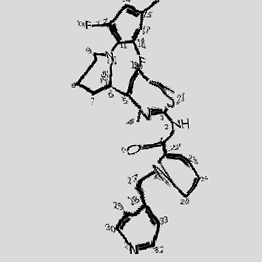 O=C(Nc1nc([C@H]2CCCN2c2c(F)cc(F)cc2F)cs1)c1cccn1Cc1ccncc1